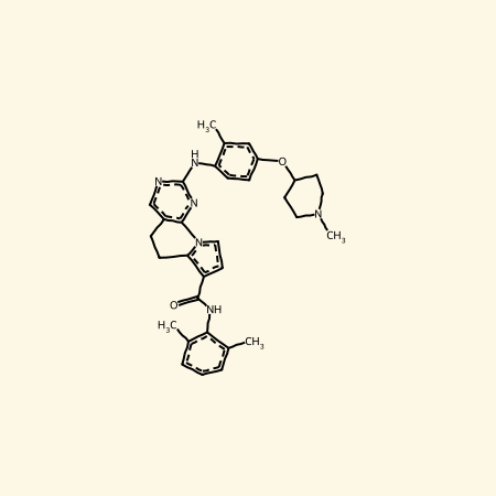 Cc1cc(OC2CCN(C)CC2)ccc1Nc1ncc2c(n1)-n1ccc(C(=O)Nc3c(C)cccc3C)c1CC2